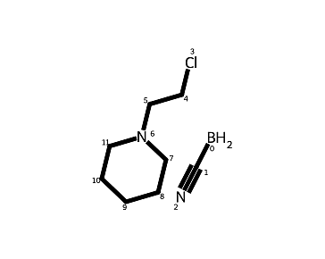 BC#N.ClCCN1CCCCC1